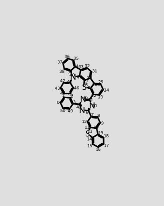 c1ccc(-c2nc(-c3ccc4c(c3)sc3ccccc34)nc(-c3cccc4c3sc3c4ccc4c5ccccc5n(-c5ccccc5)c43)n2)cc1